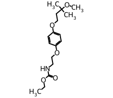 CCOC(=O)NCCOc1ccc(OCCC(C)(C)OC)cc1